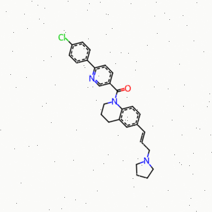 O=C(c1ccc(-c2ccc(Cl)cc2)nc1)N1CCCc2cc(C=CCN3CCCC3)ccc21